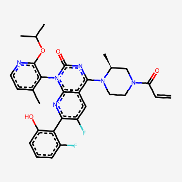 C=CC(=O)N1CCN(c2nc(=O)n(-c3c(C)ccnc3OC(C)C)c3nc(-c4c(O)cccc4F)c(F)cc23)[C@@H](C)C1